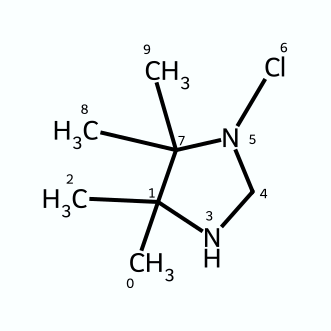 CC1(C)NCN(Cl)C1(C)C